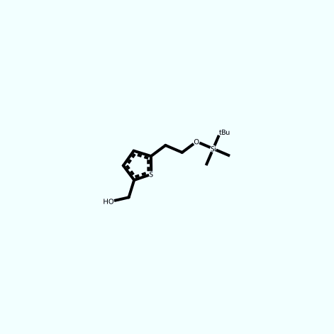 CC(C)(C)[Si](C)(C)OCCc1ccc(CO)s1